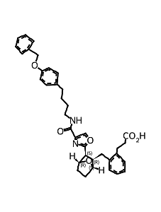 O=C(O)CCc1ccccc1C[C@@H]1[C@H](c2nc(C(=O)NCCCCc3ccc(OCc4ccccc4)cc3)co2)[C@H]2CC[C@@H]1O2